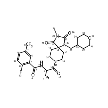 CC(C)C(NC(=O)c1cc(C(F)(F)F)ccc1F)C(=O)N1CCC2(CC1)C(=O)N(C)C(=O)N2CC1CCOCC1